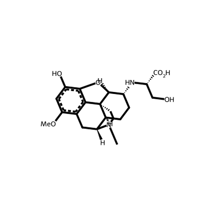 COc1cc(O)c2c3c1C[C@@H]1[C@@H]4CC[C@@H](N[C@@H](CO)C(=O)O)[C@H](O2)[C@]34CCN1C